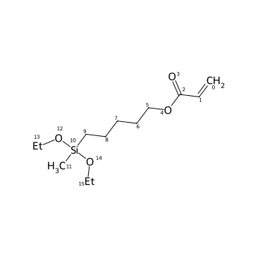 C=CC(=O)OCCCCC[Si](C)(OCC)OCC